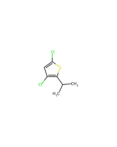 CC(C)c1sc(Cl)cc1Cl